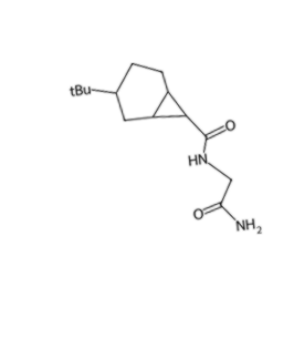 CC(C)(C)C1CCC2C(C1)C2C(=O)NCC(N)=O